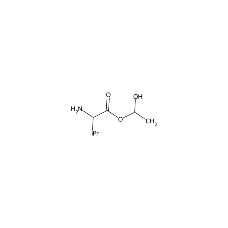 CC(O)OC(=O)C(N)C(C)C